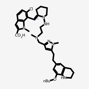 CCCCOc1cc(CCc2cc(CN(C)CCNN3CCCC/C3=C\c3c(Cl)ccc4cc(C(=O)O)n(C)c34)nn2C)cc2c1NCCC2